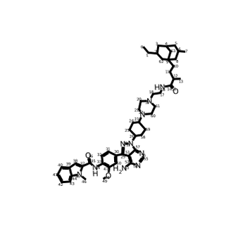 CCC1CC2CC(C)CC(CCC(C)C(=O)NCCN3CCN(C4CCC(n5nc(-c6ccc(NC(=O)c7cc8ccccc8n7C)c(OC)c6)c6c(N)ncnc65)CC4)CC3)(C1)C2